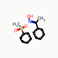 CC(=NO)c1ccccc1.CS(=O)(=O)c1ccccc1